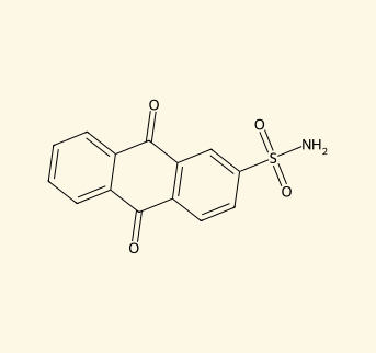 NS(=O)(=O)c1ccc2c(c1)C(=O)c1ccccc1C2=O